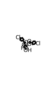 O=C(OC[C@@H]1SC(O)[C@@H](F)[C@@H]1OC(=O)c1ccc(Cl)cc1)c1ccc(Cl)cc1